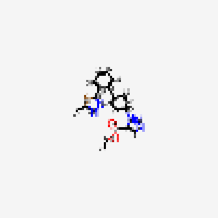 CCOC(=O)c1cnnn1-c1ccc(-c2ccccc2-c2nnc(C)s2)cc1